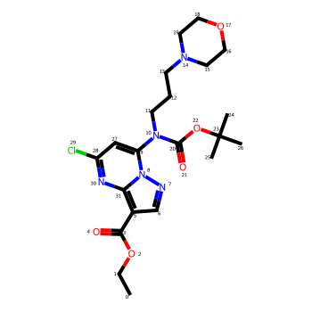 CCOC(=O)c1cnn2c(N(CCCN3CCOCC3)C(=O)OC(C)(C)C)cc(Cl)nc12